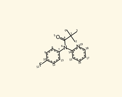 CC(C)(C)C(=O)N(c1ccc(F)cc1)c1ccccn1